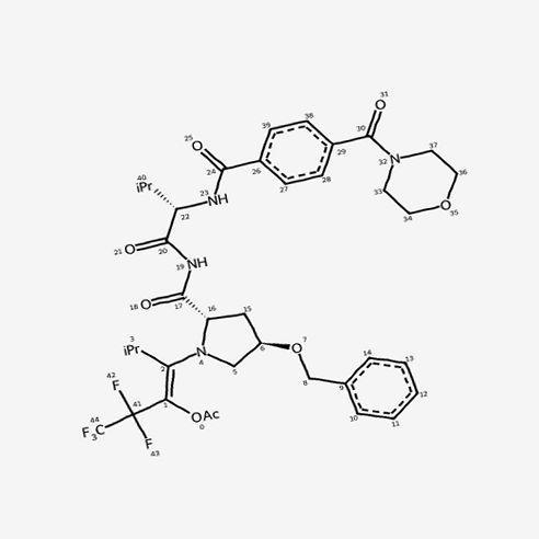 CC(=O)O/C(=C(/C(C)C)N1C[C@H](OCc2ccccc2)C[C@H]1C(=O)NC(=O)[C@@H](NC(=O)c1ccc(C(=O)N2CCOCC2)cc1)C(C)C)C(F)(F)C(F)(F)F